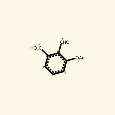 CC(=O)Oc1cccc(C(=O)O)c1C=O